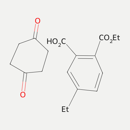 CCOC(=O)c1ccc(CC)cc1C(=O)O.O=C1CCC(=O)CC1